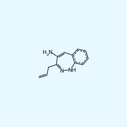 C=CCC1=NNc2ccccc2C=C1N